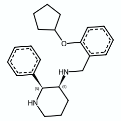 c1ccc([C@@H]2NCCC[C@@H]2NCc2ccccc2OC2CCCC2)cc1